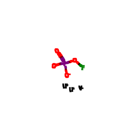 O=P([O-])([O-])OF.[Li+].[Li+].[V]